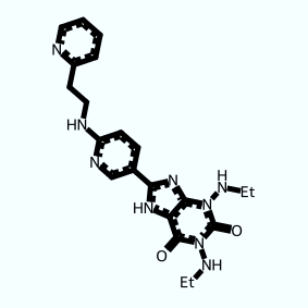 CCNn1c(=O)c2[nH]c(-c3ccc(NCCc4ccccn4)nc3)nc2n(NCC)c1=O